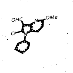 COc1ccc2c(n1)c(C=O)c(Cl)n2-c1ccccc1